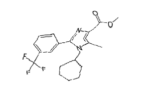 COC(=O)c1nc(-c2cccc(C(F)(F)F)c2)n(C2CCCCC2)c1C